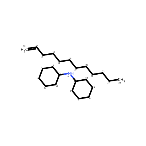 C1CCC(NC2CCCCC2)CC1.C=CCCCCCCCCCC